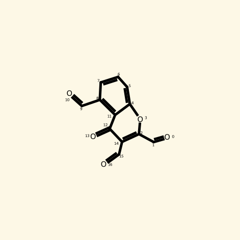 O=Cc1oc2cccc(C=O)c2c(=O)c1C=O